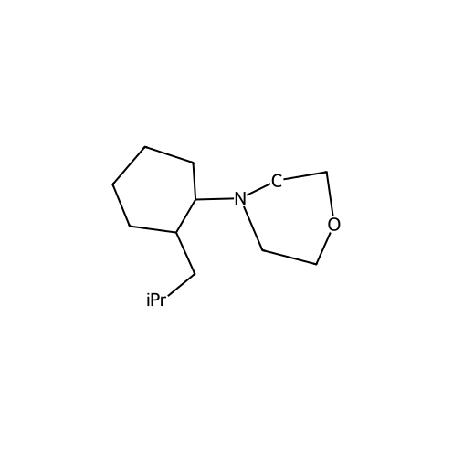 CC(C)CC1CCCCC1N1CCOCC1